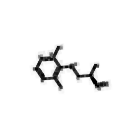 CC(=O)N[C@H](C)COc1c(C)cccc1C